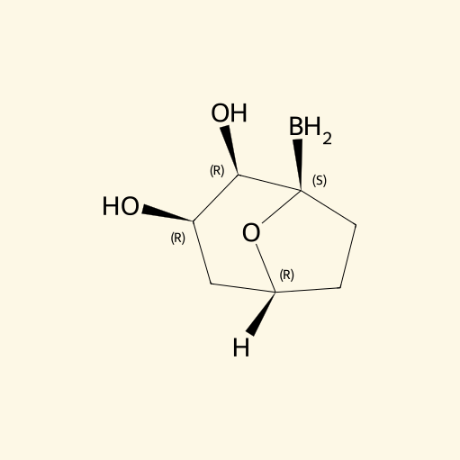 B[C@]12CC[C@H](C[C@@H](O)[C@H]1O)O2